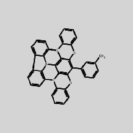 Cc1cccc(-c2c3c4c5c6c2Sc2ccccc2B6c2cccc6c7cccc(c7n-5c26)B4c2ccccc2S3)c1